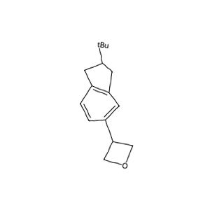 CC(C)(C)C1Cc2ccc(C3COC3)cc2C1